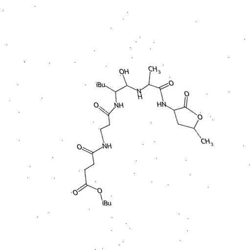 CCC(C)OC(=O)CCC(=O)NCCC(=O)NC(C(C)CC)C(O)NC(C)C(=O)NC1CC(C)OC1=O